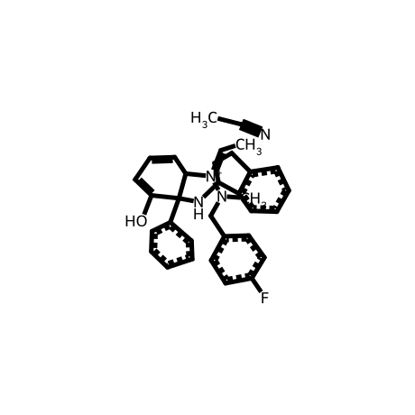 CC#N.CC=[N+](C1C=CC=C(O)C1(NC1CCc2ccccc21)c1ccccc1)N(C)Cc1ccc(F)cc1